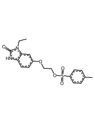 CCn1c(=O)[nH]c2ccc(OCCOS(=O)(=O)c3ccc(C)cc3)cc21